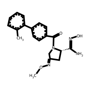 CON=C1C[C@@H](C(N)=NO)N(C(=O)c2ccc(-c3ccccc3C)cc2)C1